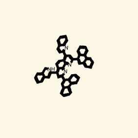 C1=C(c2cc(-c3cc4ccccc4c4ccccc34)nc3c2ccc2c(-c4ccc5ccccc5n4)cc(-c4cc5ccccc5c5ccccc45)nc23)NCc2ccccc21